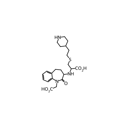 O=C(O)CN1C(=O)C(NC(CSCCC2CCNCC2)C(=O)O)CCc2ccccc21